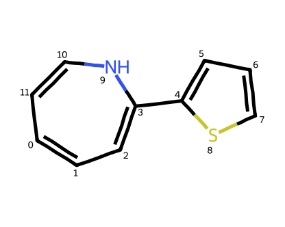 C1=CC=C(c2cccs2)NC=C1